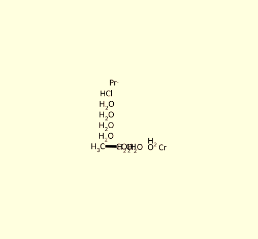 CC(=O)O.Cl.O.O.O.O.O.O.O.[Cr].[Pr]